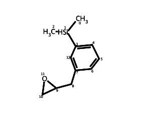 C[SiH](C)c1cccc(CC2CO2)c1